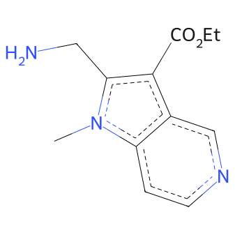 CCOC(=O)c1c(CN)n(C)c2ccncc12